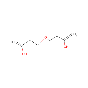 C=C(O)CCOCCC(=C)O